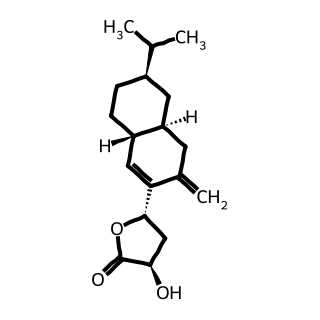 C=C1C[C@@H]2C[C@H](C(C)C)CC[C@H]2C=C1[C@@H]1C[C@@H](O)C(=O)O1